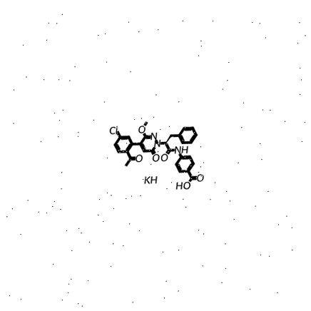 COc1nn([C@@H](Cc2ccccc2)C(=O)Nc2ccc(C(=O)O)cc2)c(=O)cc1-c1cc(Cl)ccc1C(C)=O.[KH]